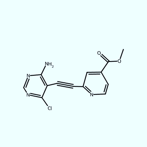 COC(=O)c1ccnc(C#Cc2c(N)ncnc2Cl)c1